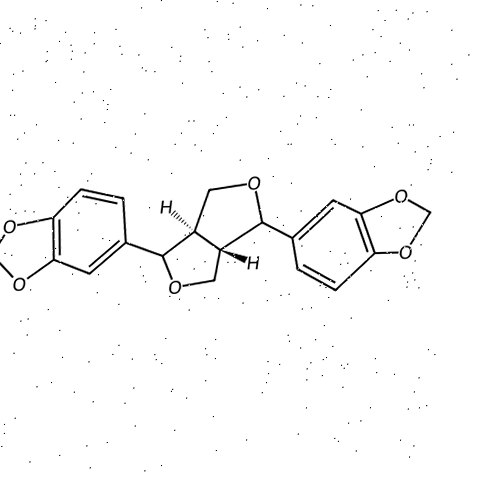 c1cc2c(cc1C1OC[C@H]3C(c4ccc5c(c4)OCO5)OC[C@H]13)OCO2